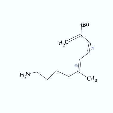 C=C(/C=C\C=C(/C)CCCCN)C(C)(C)C